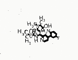 C[C@@H](C(=O)O)N(C)CC[C@H](NC(=O)OC(C)(C)C)c1cc(-c2cc(F)ccc2N)ccn1